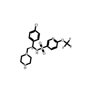 O=S(=O)(N[C@@H](CN1CCNCC1)c1ccc(Cl)cc1)c1ccc(OC(F)(F)F)nc1